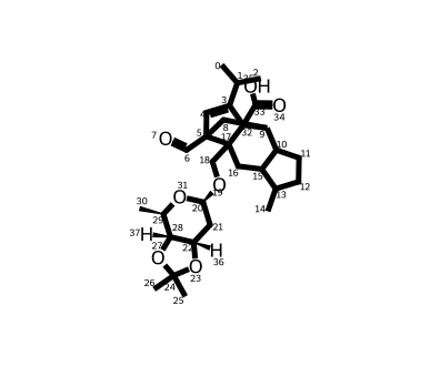 CC(C)C1=CC2(C=O)CC3C4CCC(C)C4CC2(CO[C@H]2C[C@@H]4OC(C)(C)O[C@@H]4[C@@H](C)O2)C13C(=O)O